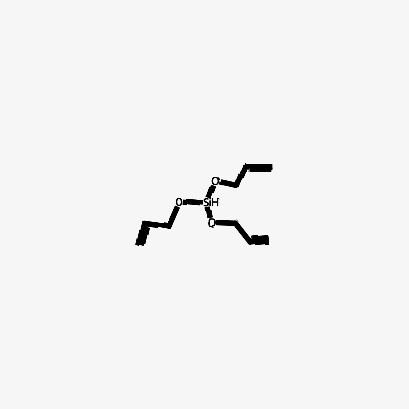 C=CCO[SiH](OCC=C)OCC=C